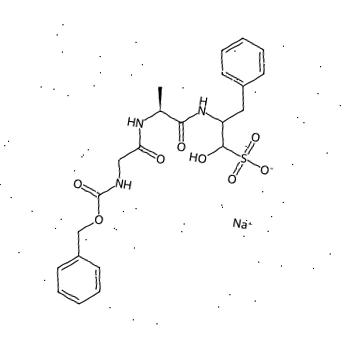 C[C@H](NC(=O)CNC(=O)OCc1ccccc1)C(=O)NC(Cc1ccccc1)C(O)S(=O)(=O)[O-].[Na+]